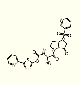 CCCC(NC(=O)Oc1ccc(-c2ccccn2)s1)C(=O)N1CCC2C1C(=O)CN2S(=O)(=O)c1cccnc1